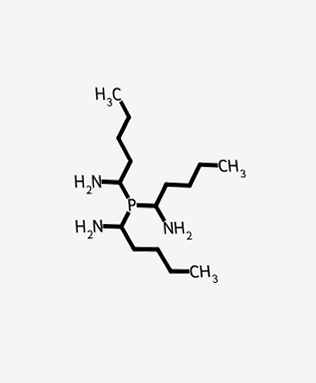 CCCCC(N)P(C(N)CCCC)C(N)CCCC